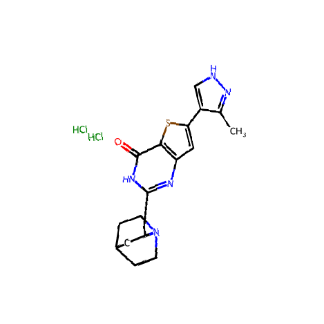 Cc1n[nH]cc1-c1cc2nc(C3CC4CCN3CC4)[nH]c(=O)c2s1.Cl.Cl